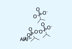 CC(C)P(=O)([O-])[O-].CC(C)P(=O)([O-])[O-].CC(C)P(=O)([O-])[O-].[Al+3].[Al+3]